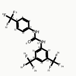 O=C(Nc1ccc(C(F)(F)F)cc1)Nc1cc(C(F)(F)F)cc(C(F)(F)F)c1